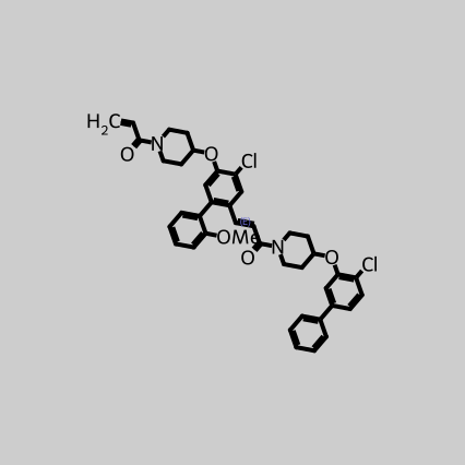 C=CC(=O)N1CCC(Oc2cc(-c3ccccc3OC)c(/C=C/C(=O)N3CCC(Oc4cc(-c5ccccc5)ccc4Cl)CC3)cc2Cl)CC1